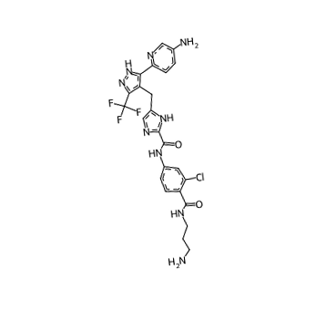 NCCCNC(=O)c1ccc(NC(=O)c2ncc(Cc3c(C(F)(F)F)n[nH]c3-c3ccc(N)cn3)[nH]2)cc1Cl